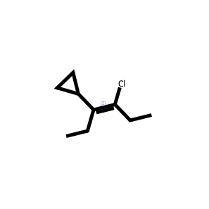 CC/C(Cl)=C(\CC)C1CC1